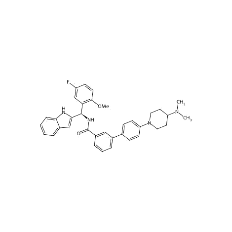 COc1ccc(F)cc1[C@@H](NC(=O)c1cccc(-c2ccc(N3CCC(N(C)C)CC3)cc2)c1)c1cc2ccccc2[nH]1